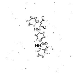 CC(C)C(C(=O)Nc1ccc(C(=O)Nc2ccccc2N)cc1)c1ccccc1